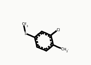 [CH2]c1ccc(SC(F)(F)F)cc1Cl